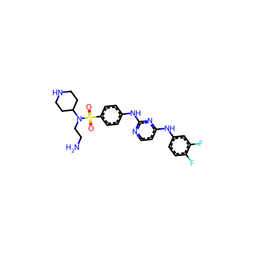 NCCN(C1CCNCC1)S(=O)(=O)c1ccc(Nc2nccc(Nc3ccc(F)c(F)c3)n2)cc1